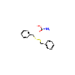 NC(=O)O.c1ccc(CSSCc2ccccc2)cc1